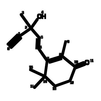 C#CC(C)(O)C=CC1=C(C)C(=O)CCC1(C)C